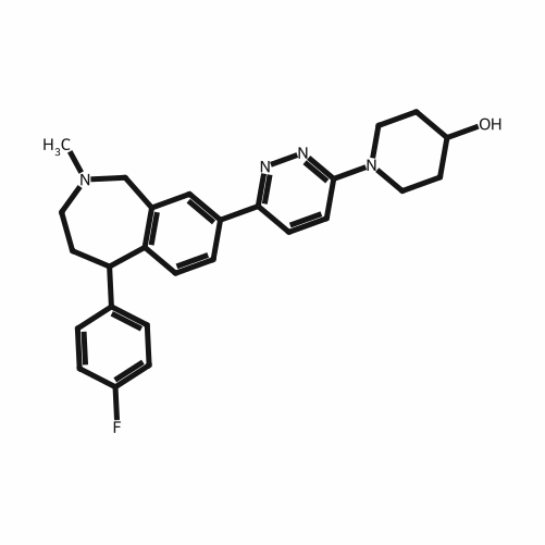 CN1CCC(c2ccc(F)cc2)c2ccc(-c3ccc(N4CCC(O)CC4)nn3)cc2C1